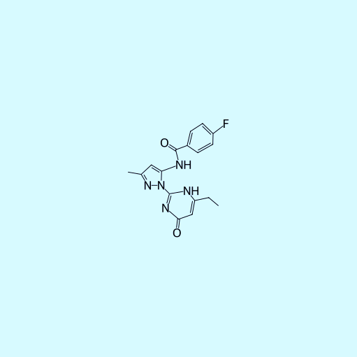 CCc1cc(=O)nc(-n2nc(C)cc2NC(=O)c2ccc(F)cc2)[nH]1